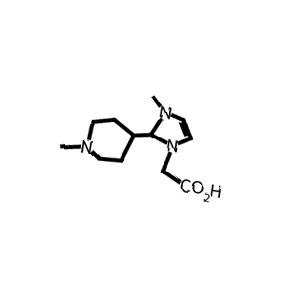 CN1CCC(C2N(C)C=CN2CC(=O)O)CC1